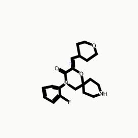 O=C1/C(=C/C2CCOCC2)OC2(CCNCC2)CN1c1ccccc1F